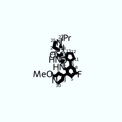 COc1cc(-c2cc(F)cc(C3CCCC3)c2NC(=O)NS(=O)(=O)c2ccn(C(C)C)n2)ccn1